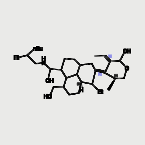 C/C=C1\C(=C2/CC3CCC(C(O)NCC(CC)CCCC)C4C(CO)CC[C@H](C2CC)C34)[C@H](C)COC1O